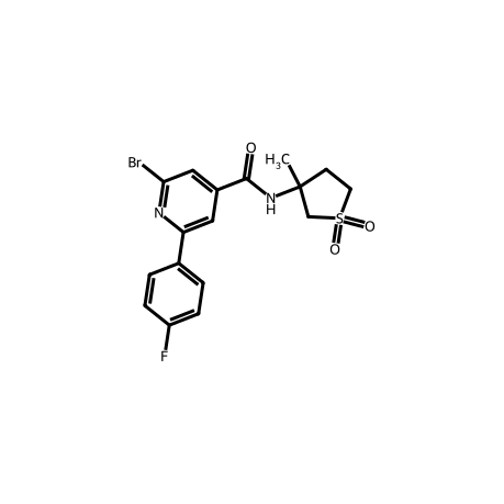 CC1(NC(=O)c2cc(Br)nc(-c3ccc(F)cc3)c2)CCS(=O)(=O)C1